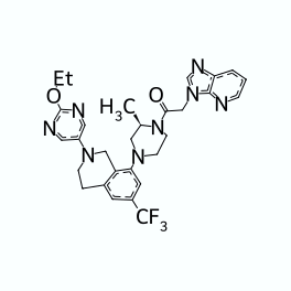 CCOc1ncc(N2CCc3cc(C(F)(F)F)cc(N4CCN(C(=O)Cn5cnc6cccnc65)[C@H](C)C4)c3C2)cn1